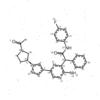 CC(=O)N1CC[C@H](n2cc(-c3cnc(N)c(C(C(=O)Nc4ccc(F)cc4)c4ccccc4)n3)cn2)C1